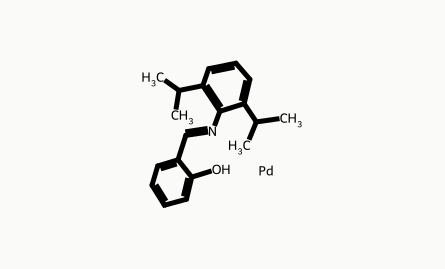 CC(C)c1cccc(C(C)C)c1N=Cc1ccccc1O.[Pd]